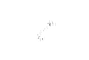 CC(C)CN(C)CCOCCOCCOC12CCCC(CC(C)(C)C1)C2